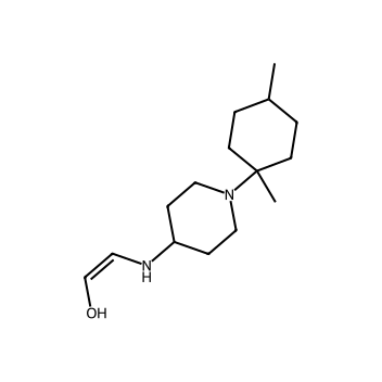 CC1CCC(C)(N2CCC(N/C=C\O)CC2)CC1